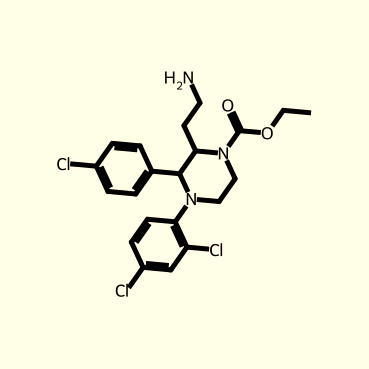 CCOC(=O)N1CCN(c2ccc(Cl)cc2Cl)C(c2ccc(Cl)cc2)C1CCN